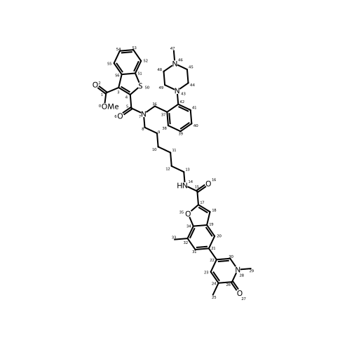 COC(=O)c1c(C(=O)N(CCCCCCNC(=O)c2cc3cc(-c4cc(C)c(=O)n(C)c4)cc(C)c3o2)Cc2ccccc2N2CCN(C)CC2)sc2ccccc12